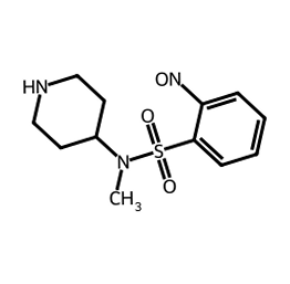 CN(C1CCNCC1)S(=O)(=O)c1ccccc1N=O